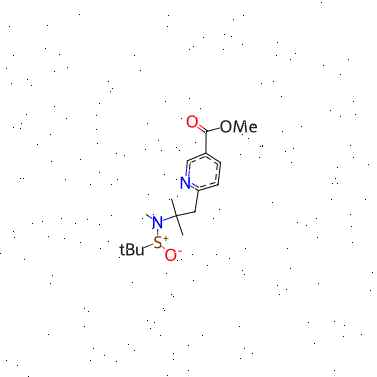 COC(=O)c1ccc(CC(C)(C)N(C)[S+]([O-])C(C)(C)C)nc1